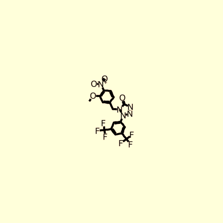 COc1cc(Cn2c(=O)nnn2-c2cc(C(F)(F)F)cc(C(F)(F)F)c2)ccc1[N+](=O)[O-]